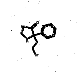 CC(C)CCC1(c2ccccc2)NCNC1=O